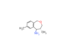 Cc1ccc2c(c1)[C@H](N)[C@@H](C)COC2